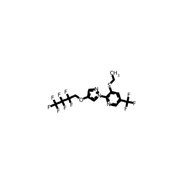 CCSc1cc(C(F)(F)F)cnc1-n1cc(OCC(F)(F)C(F)(F)C(F)(F)F)cn1